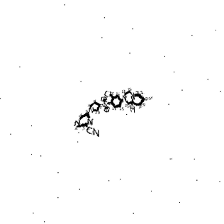 N#Cc1cncc(N2CC[C@H](S(=O)(=O)c3ccc(N4CCN5CCC[C@H]5C4)cc3Cl)C2)n1